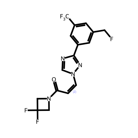 O=C(/C=C\n1cnc(-c2cc(CF)cc(C(F)(F)F)c2)n1)N1CC(F)(F)C1